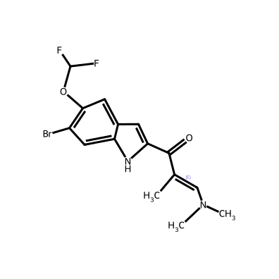 C/C(=C\N(C)C)C(=O)c1cc2cc(OC(F)F)c(Br)cc2[nH]1